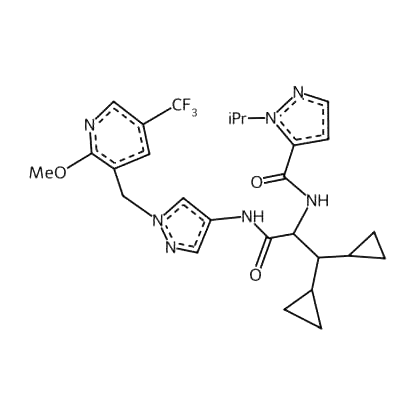 COc1ncc(C(F)(F)F)cc1Cn1cc(NC(=O)C(NC(=O)c2ccnn2C(C)C)C(C2CC2)C2CC2)cn1